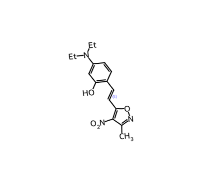 CCN(CC)c1ccc(/C=C/c2onc(C)c2[N+](=O)[O-])c(O)c1